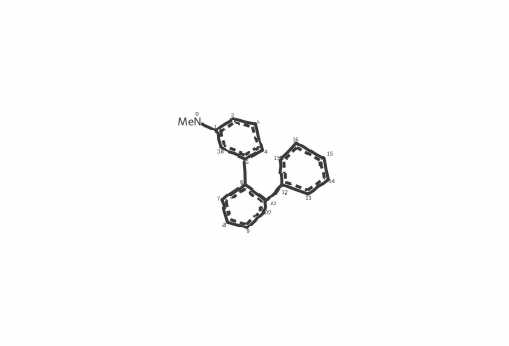 CNc1cccc(-c2ccccc2-c2ccccc2)c1